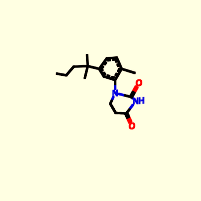 CCCC(C)(C)c1ccc(C)c(N2CCC(=O)NC2=O)c1